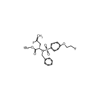 C=C(F)C[C@H](C(=O)OC(C)(C)C)N(Cc1ccccc1)S(=O)(=O)c1ccc(OCCF)cc1